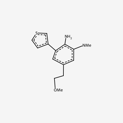 CNc1cc(CCOC)cc(-c2ccsc2)c1N